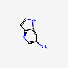 Nc1cnc2cc[nH]c2c1